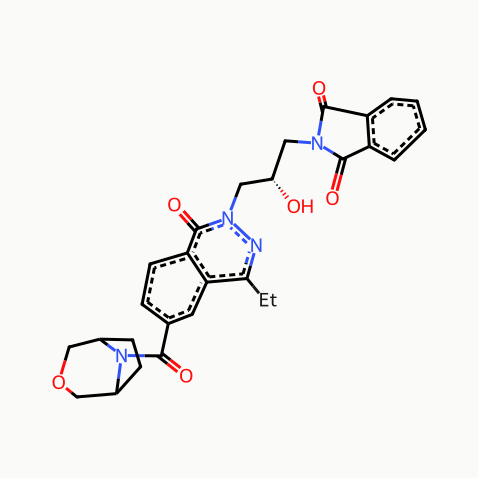 CCc1nn(C[C@@H](O)CN2C(=O)c3ccccc3C2=O)c(=O)c2ccc(C(=O)N3C4CCC3COC4)cc12